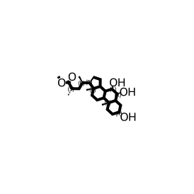 COC(=O)[C@@H](C)C[C@@H](C)[C@H]1CCC2C3C(CC[C@@]21C)[C@@]1(C)CC[C@@H](O)CC1[C@@H](O)[C@H]3O